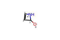 [O]C1C=CN1